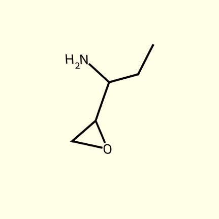 CCC(N)C1CO1